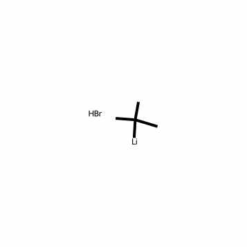 Br.[Li][C](C)(C)C